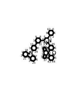 c1ccc(-c2cc(-c3cccc(-c4ccc(-n5c6ccccc6c6ccccc65)cc4)c3)nc(-c3ccc4c(c3)C3(c5ccccc5O4)c4ccccc4-c4ccccc43)n2)cc1